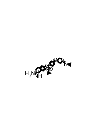 N=C(N)N1CCc2ccc(N(C3CC3)S(=O)(=O)c3ccc(OC4CCN(C=NC5CC5)CC4)cc3)cc2C1